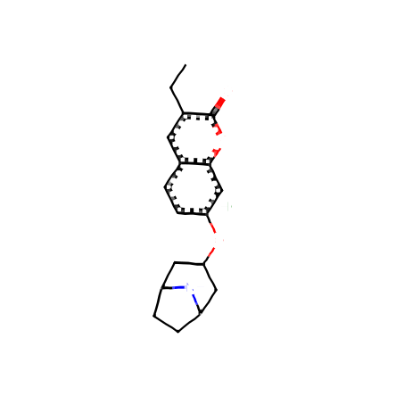 CCc1cc2ccc(OC3CC4CCC(C3)N4)cc2oc1=O.Cl